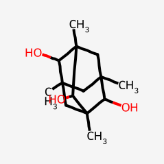 CC12CC3(C)CC(C)(C1O)C(O)C(C)(C2)C3O